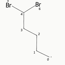 [CH2]CCCC(Br)Br